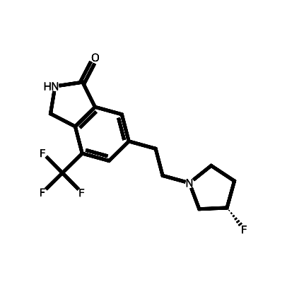 O=C1NCc2c1cc(CCN1CC[C@H](F)C1)cc2C(F)(F)F